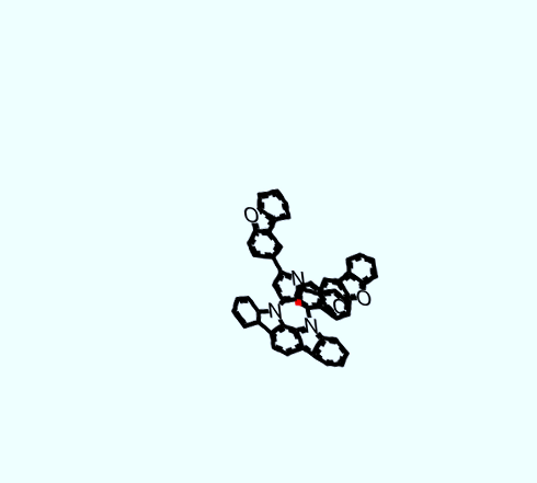 C1=CC2c3ccc4c5ccccc5n(-c5cccc6ccccc56)c4c3N(c3cc(-c4ccc5oc6ccccc6c5c4)nc(-c4ccc5oc6ccccc6c5c4)c3)C2C=C1